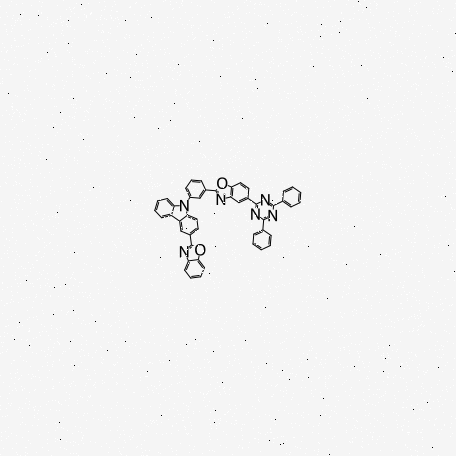 c1ccc(-c2nc(-c3ccccc3)nc(-c3ccc4oc(-c5cccc(-n6c7ccccc7c7cc(-c8nc9ccccc9o8)ccc76)c5)nc4c3)n2)cc1